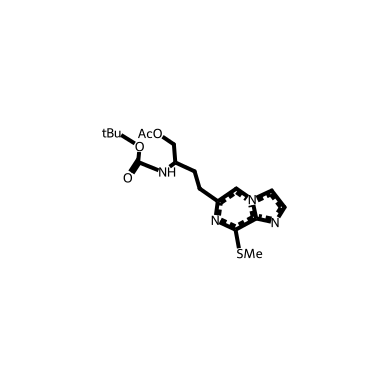 CSc1nc(CCC(COC(C)=O)NC(=O)OC(C)(C)C)cn2ccnc12